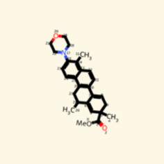 COC(=O)C1(C)C=C2C(=CC1)c1ccc3c(C)c(N4CCOCC4)ccc3c1CC2C